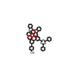 N#Cc1ccc(-c2ccc(-n3c4ccccc4c4c5sc6ccccc6c5ccc43)c(-c3cc(-c4nc(-c5ccccc5)nc(-c5ccccc5)n4)ccc3-n3c4ccccc4c4c5sc6ccccc6c5ccc43)c2)cc1